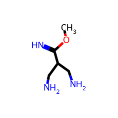 COC(=N)C(CN)CN